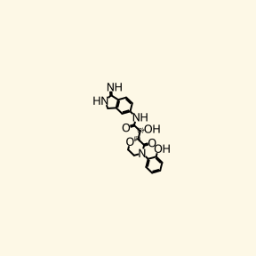 N=C1NCc2cc(NC(=O)[C@H](O)[C@H]3OCCN(c4ccccc4O)C3=O)ccc21